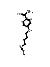 [N-]=[N+]=NCCCCOc1ccc(C(=N)N)cc1